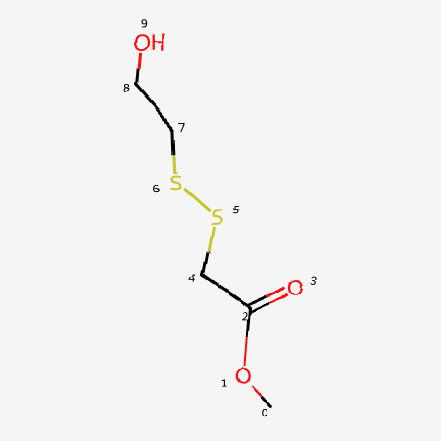 COC(=O)CSSCCO